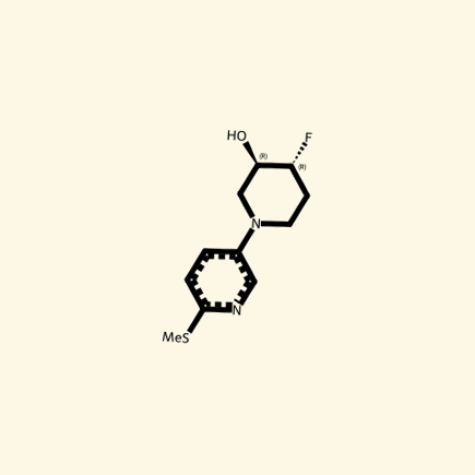 CSc1ccc(N2CC[C@@H](F)[C@H](O)C2)cn1